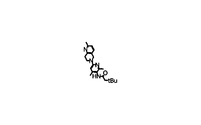 Cc1ccc2c(n1)CCN(c1cc(C)c(NC(=O)CC(C)(C)C)c(C)n1)C2